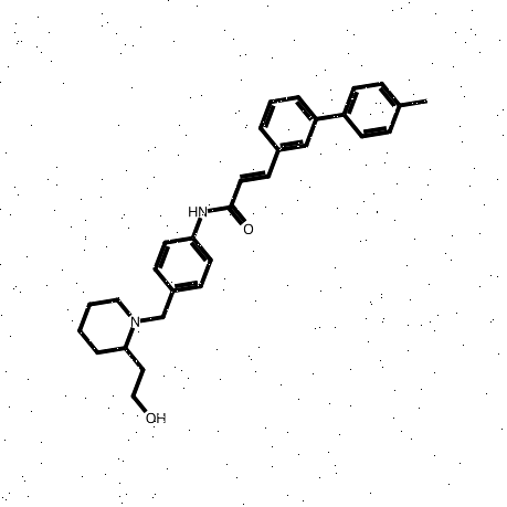 Cc1ccc(-c2cccc(C=CC(=O)Nc3ccc(CN4CCCCC4CCO)cc3)c2)cc1